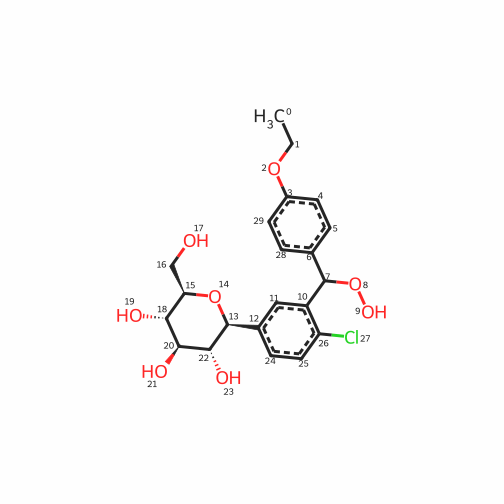 CCOc1ccc(C(OO)c2cc([C@@H]3O[C@H](CO)[C@@H](O)[C@H](O)[C@H]3O)ccc2Cl)cc1